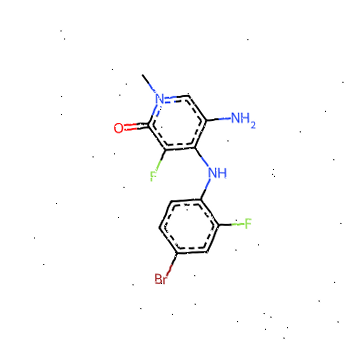 Cn1cc(N)c(Nc2ccc(Br)cc2F)c(F)c1=O